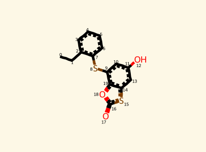 CCc1ccccc1Sc1cc(O)cc2sc(=O)oc12